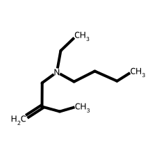 C=C(CC)CN(CC)CCCC